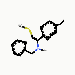 CC(=O)N(Cc1ccccc1)/C(=C/SC#N)c1ccc(C)cc1